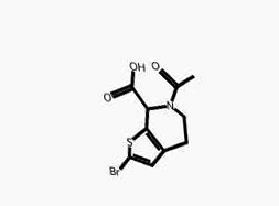 CC(=O)N1CCc2cc(Br)sc2C1C(=O)O